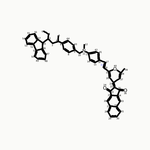 CCC(CC(C)c1ccc(CN(C)c2ccc(/C=C/C3=CC(=C4C(=O)c5cc6ccccc6cc5C4=O)C=C(C)O3)cc2)cc1)C1c2ccccc2-c2ccccc21